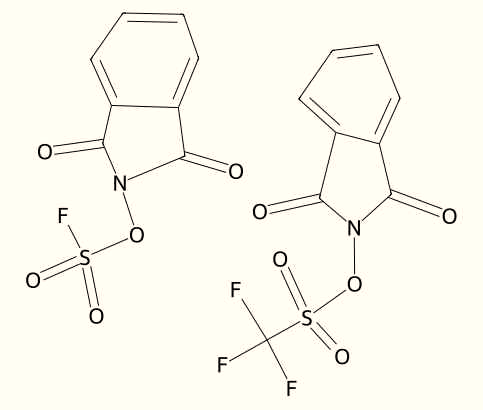 O=C1c2ccccc2C(=O)N1OS(=O)(=O)C(F)(F)F.O=C1c2ccccc2C(=O)N1OS(=O)(=O)F